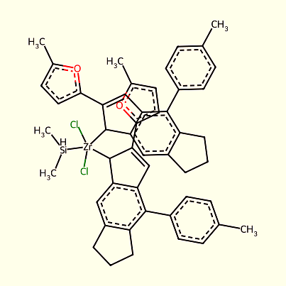 Cc1ccc(-c2c3c(cc4c2CCC4)[CH]([Zr]([Cl])([Cl])([CH]2C(c4ccc(C)o4)=Cc4c2cc2c(c4-c4ccc(C)cc4)CCC2)[SiH](C)C)C(c2ccc(C)o2)=C3)cc1